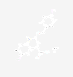 O=C([O-])c1cc(OCc2ccc(F)cc2)nc2ccc(F)cc12.[Na+]